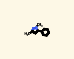 Cc1cc(-c2ccccc2)n(C)n1